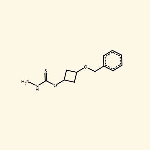 NNC(=S)OC1CC(OCc2ccccc2)C1